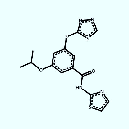 CC(C)Oc1cc(Sc2nncs2)cc(C(=O)Nc2nccs2)c1